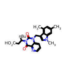 CCCCC(CC(=O)O)n1c(=O)c2ncccc2n(Cc2cn(C)c3cc(C)cc(C)c23)c1=O